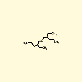 CCCC(CC)C[N]CC(CC)CCC